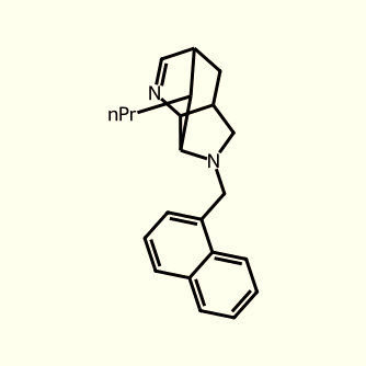 CCCC1C2C=NC3C(C2)CN(Cc2cccc4ccccc24)C13